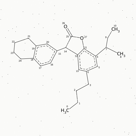 CCCCc1cc(C(C)CC)c2c(c1)C(c1ccc3c(c1)CCCC3)C(=O)O2